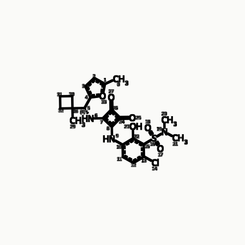 Cc1ccc([C@H](Nc2c(Nc3ccc(Cl)c(S(=O)(=O)N(C)C)c3O)c(=O)c2=O)C2(C)CCC2)o1